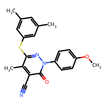 COc1ccc(-n2nc(Sc3cc(C)cc(C)c3)c(C)c(C#N)c2=O)cc1